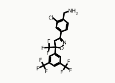 NCc1ccc(C2=NOC(c3cc(C(F)(F)F)cc(C(F)(F)F)c3)(C(F)(F)F)C2)cc1Cl